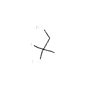 CCC(C)(F)I